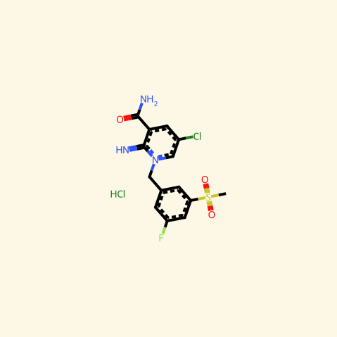 CS(=O)(=O)c1cc(F)cc(Cn2cc(Cl)cc(C(N)=O)c2=N)c1.Cl